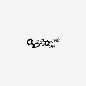 Cc1c(COc2cc(O)c(C=O)cc2Cl)cccc1-c1ccccc1